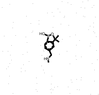 CNCc1ccc2c(c1)C(C)(C)OB2O